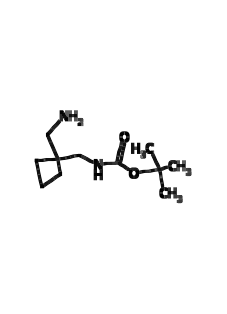 CC(C)(C)OC(=O)NCC1(CN)CCC1